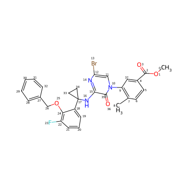 COC(=O)c1ccc(C)c(-n2cc(Br)nc(NC3(c4cccc(F)c4OCc4ccccc4)CC3)c2=O)c1